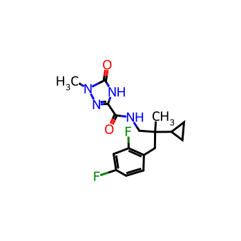 Cn1nc(C(=O)NCC(C)(Cc2ccc(F)cc2F)C2CC2)[nH]c1=O